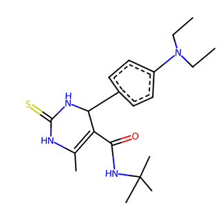 CCN(CC)c1ccc(C2NC(=S)NC(C)=C2C(=O)NC(C)(C)C)cc1